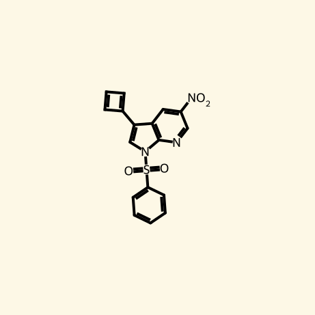 O=[N+]([O-])c1cnc2c(c1)c(C1=CC=C1)cn2S(=O)(=O)c1ccccc1